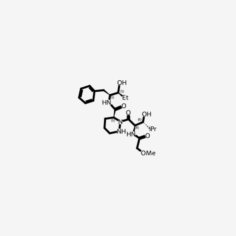 CC[C@H](O)[C@H](Cc1ccccc1)NC(=O)[C@@H]1CCCNN1C(=O)[C@H](NC(=O)COC)[C@H](O)C(C)C